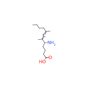 CCCCC(C)=C=C(C)C(N)CCCC(=O)O